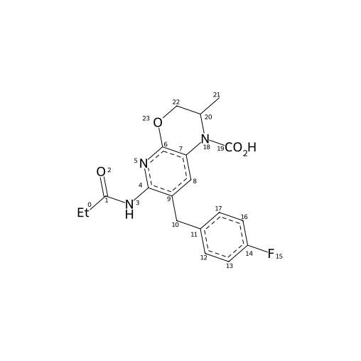 CCC(=O)Nc1nc2c(cc1Cc1ccc(F)cc1)N(C(=O)O)C(C)CO2